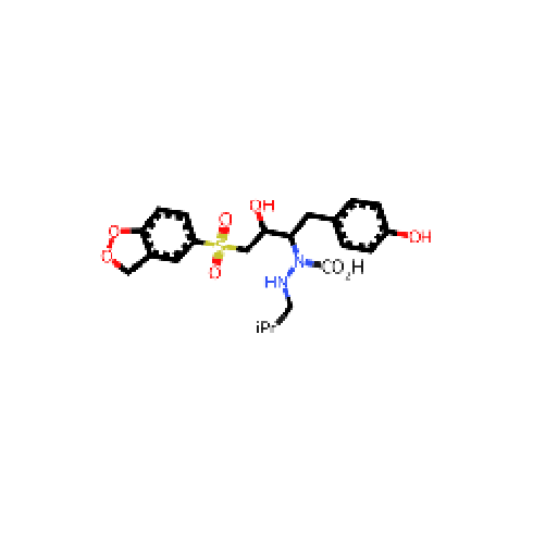 CC(C)CNN(C(=O)O)C(Cc1ccc(O)cc1)C(O)CS(=O)(=O)c1ccc2c(c1)COO2